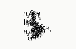 CC(C)C1=C2[C@H]3CC[C@@H]4[C@@]5(C)CC[C@H](OC(=O)CC(C)(C)C(=O)O)C(C)(C)[C@@H]5CC[C@@]4(C)[C@]3(C)CC[C@@]2(c2c(Cl)c(=O)n(-c3ccc(Cl)cc3)n2CCN(C)C)CC1=O